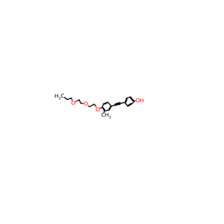 CCCOCCOCCOc1ccc(C#Cc2ccc(O)cc2)cc1C